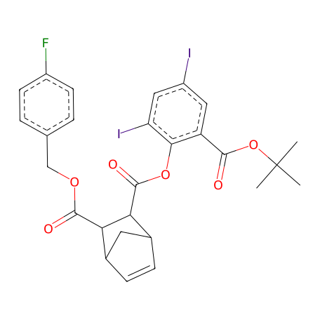 CC(C)(C)OC(=O)c1cc(I)cc(I)c1OC(=O)C1C2C=CC(C2)C1C(=O)OCc1ccc(F)cc1